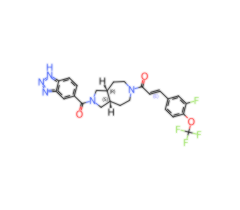 O=C(/C=C/c1ccc(OC(F)(F)F)c(F)c1)N1CC[C@@H]2CN(C(=O)c3ccc4[nH]nnc4c3)C[C@@H]2CC1